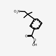 CC(C)(C[N+](=O)[O-])c1cccc(C(=O)OO)c1